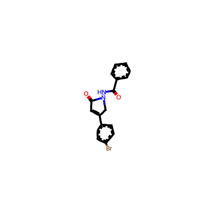 O=C(NN1CC(c2ccc(Br)cc2)=CC1=O)c1ccccc1